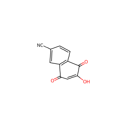 N#Cc1ccc2c(c1)C(=O)C=C(O)C2=O